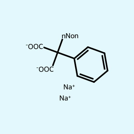 CCCCCCCCCC(C(=O)[O-])(C(=O)[O-])c1ccccc1.[Na+].[Na+]